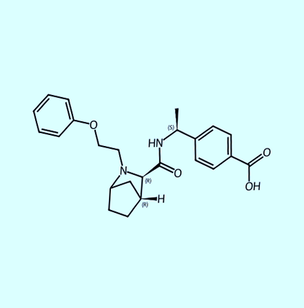 C[C@H](NC(=O)[C@H]1[C@@H]2CCC(C2)N1CCOc1ccccc1)c1ccc(C(=O)O)cc1